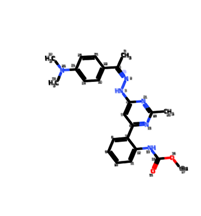 C/C(=N/Nc1cc(-c2ccccc2NC(=O)OC(C)(C)C)nc(C)n1)c1ccc(N(C)C)cc1